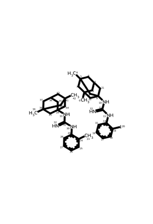 CC12CC3CC(C)(C1)CC(NC(=N)Nc1ccccc1I)(C3)C2.Cc1ccccc1NC(=N)NC12CC3CC(C)(CC(C)(C3)C1)C2